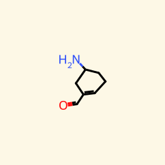 NC1CCC=C(C=O)C1